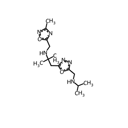 Cc1noc(CNC(C)(C)Cc2nnc(CNC(C)C)o2)n1